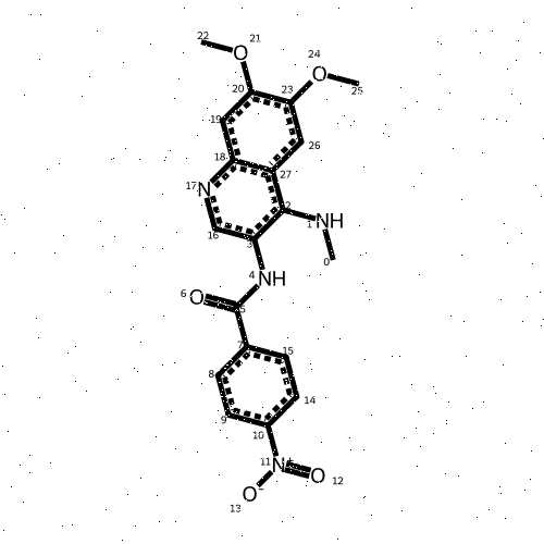 CNc1c(NC(=O)c2ccc([N+](=O)[O-])cc2)cnc2cc(OC)c(OC)cc12